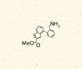 COC(=O)c1cc2c(-c3ccccc3CN)cccc2s1